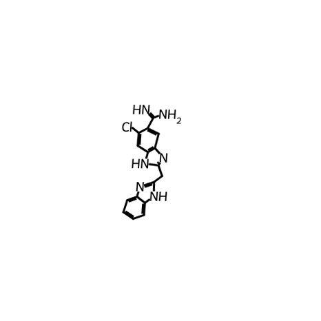 N=C(N)c1cc2nc(Cc3nc4ccccc4[nH]3)[nH]c2cc1Cl